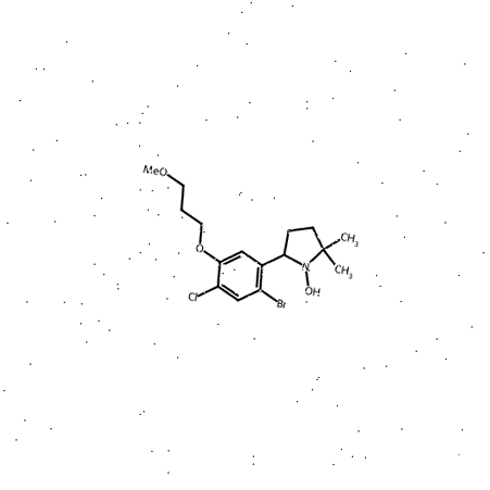 COCCCOc1cc(C2CCC(C)(C)N2O)c(Br)cc1Cl